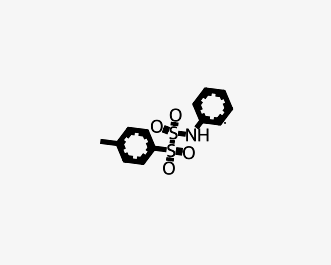 Cc1ccc(S(=O)(=O)S(=O)(=O)Nc2[c]cccc2)cc1